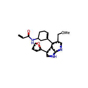 C=CC(=O)NC1CCC=C(c2c(COC)cnc3[nH]cc(-c4ccco4)c23)C1